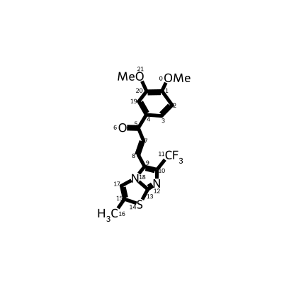 COc1ccc(C(=O)C=Cc2c(C(F)(F)F)nc3sc(C)cn23)cc1OC